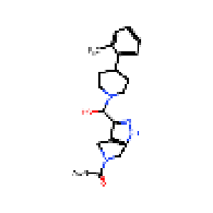 CNC(=O)N1Cc2[nH]nc(C(O)N3CCC(c4ccccc4C(F)(F)F)CC3)c2C1